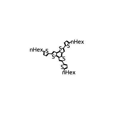 CCCCCCc1ccc(-c2cc3c(s2)c2cc(-c4ccc(CCCCCC)s4)sc2c2cc(-c4ccc(CCCCCC)s4)sc32)s1